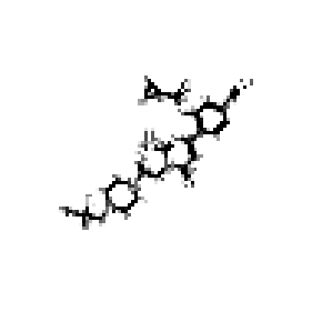 Cc1nc(-c2ccc(C#N)cc2NC(=O)C2CC2)cc(=O)n1CC(=O)N1CCN(CC(F)(F)F)CC1